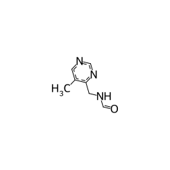 Cc1cncnc1CNC=O